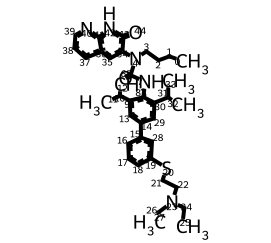 CCCCN(C(=O)Nc1c(C(C)C)cc(-c2cccc(SCCN(CC)CC)c2)cc1C(C)C)c1cc2cccnc2[nH]c1=O